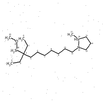 CCC(CC)(CCCCCCCN1CCC[SiH]1C)[SiH2]OC